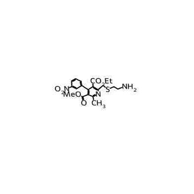 CCOC(=O)c1c(CSCCN)nc(C)c(C(=O)OC)c1-c1cccc([N+](=O)[O-])c1